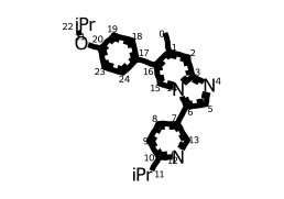 Cc1cc2ncc(-c3ccc(C(C)C)nc3)n2cc1-c1ccc(OC(C)C)cc1